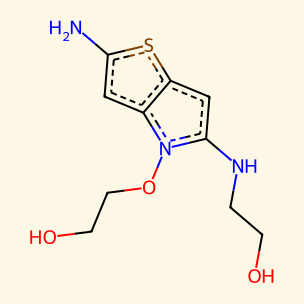 Nc1cc2c(cc(NCCO)n2OCCO)s1